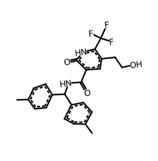 Cc1ccc(C(NC(=O)c2cc(CCO)c(C(F)(F)F)[nH]c2=O)c2ccc(C)cc2)cc1